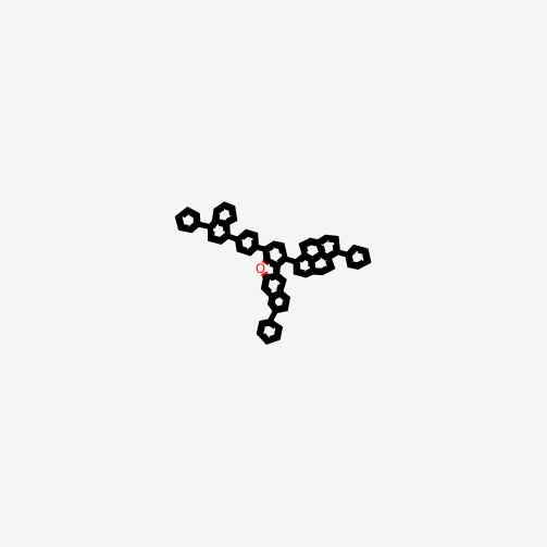 c1ccc(-c2ccc3cc4c(cc3c2)oc2c(-c3ccc(-c5ccc(-c6ccccc6)c6ccccc56)cc3)ccc(-c3ccc5ccc6c(-c7ccccc7)ccc7ccc3c5c76)c24)cc1